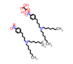 CCCCCCCN(CCCCCCC)CCCCc1ccc([N+](=O)[O-])cc1.CCCCCCCN(CCCCCCC)CCCCc1ccc([N+](=O)[O-])cc1.O=C(O)C(=O)O